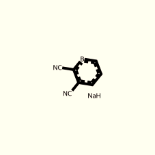 N#Cc1bcccc1C#N.[NaH]